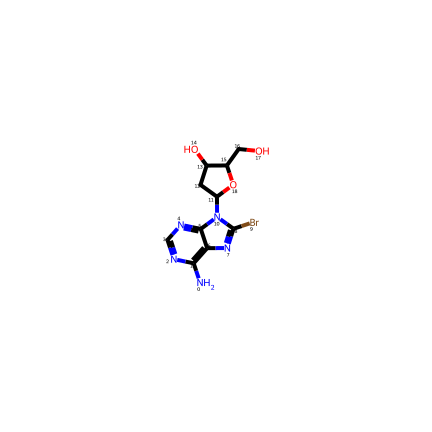 Nc1ncnc2c1nc(Br)n2C1CC(O)C(CO)O1